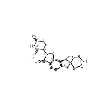 O=C1CCC(N2Cc3c(ccc4c3OC3(CCNCC3)C4)C2=O)C(=O)N1